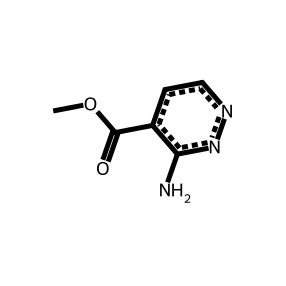 COC(=O)c1ccnnc1N